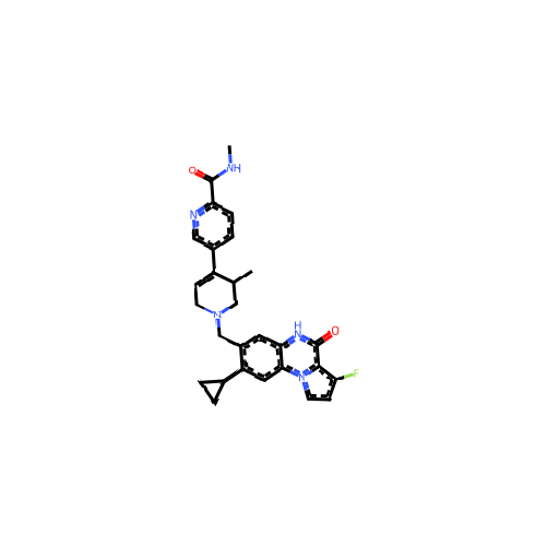 CNC(=O)c1ccc(C2=CCN(Cc3cc4[nH]c(=O)c5c(F)ccn5c4cc3C3CC3)CC2C)cn1